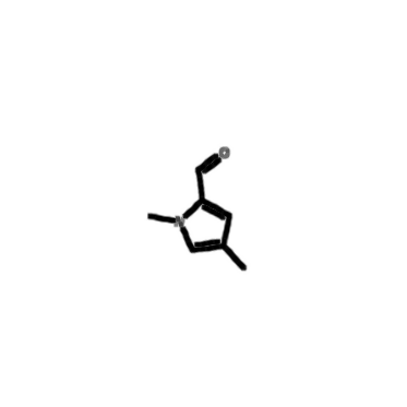 Cc1cc(C=O)n(C)c1